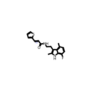 Cc1[nH]c2c(F)ccc(C)c2c1CCNC(=O)/C=C/c1cccs1